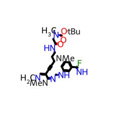 C=N/C=C(C#CCCCNC(=O)CN(C)C(=O)OC(C)(C)C)\C(=N/CNc1ccc(NC)c(C(=N)F)c1)NC